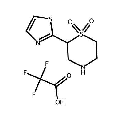 O=C(O)C(F)(F)F.O=S1(=O)CCNCC1c1nccs1